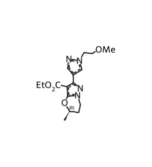 CCOC(=O)c1c(-c2cnn(CCOC)c2)nn2c1O[C@H](C)CC2